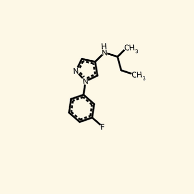 CCC(C)Nc1cnn(-c2cccc(F)c2)c1